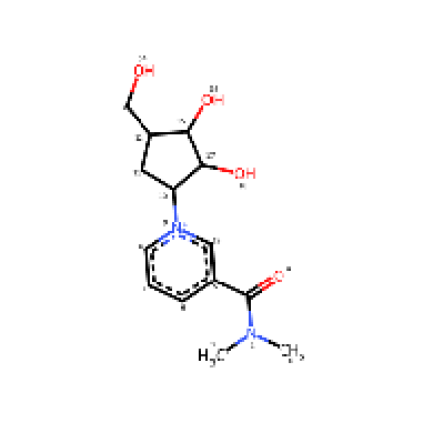 CN(C)C(=O)c1ccc[n+](C2CC(CO)C(O)C2O)c1